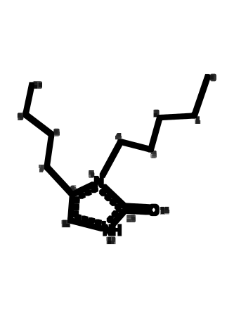 CCCCCn1c(CCCC)c[nH]c1=O